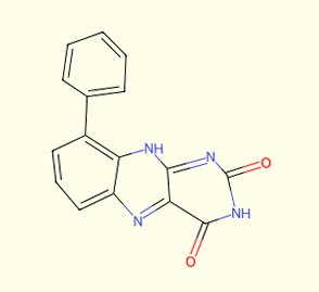 O=c1nc2[nH]c3c(-c4ccccc4)cccc3nc-2c(=O)[nH]1